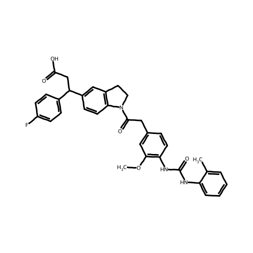 COc1cc(CC(=O)N2CCc3cc(C(CC(=O)O)c4ccc(F)cc4)ccc32)ccc1NC(=O)Nc1ccccc1C